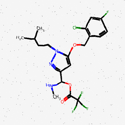 CNC(OC(=O)C(F)(F)F)c1cc(OCc2ccc(F)cc2Cl)n(CCC(C)C)n1